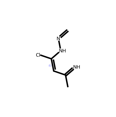 C=NN/C(Cl)=C\C(C)=N